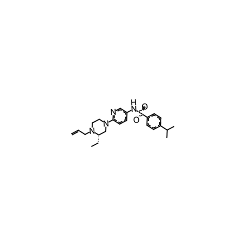 C=CCN1CCN(c2ccc(NS(=O)(=O)c3ccc(C(C)C)cc3)cn2)C[C@@H]1CC